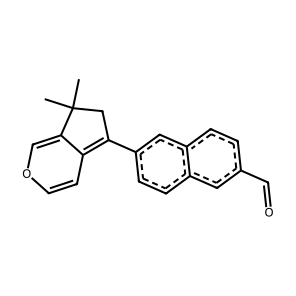 CC1(C)CC(c2ccc3cc(C=O)ccc3c2)=C2C=COC=C21